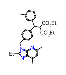 CCOC(=O)C(C(=O)OCC)C(c1ccc(Cn2c(CC)nc3c(C)cc(C)nc32)cc1)c1cccc(C)c1